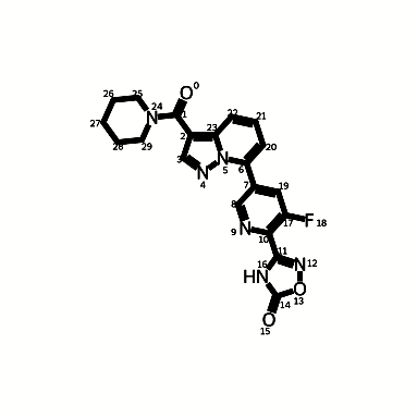 O=C(c1cnn2c(-c3cnc(-c4noc(=O)[nH]4)c(F)c3)cccc12)N1CCCCC1